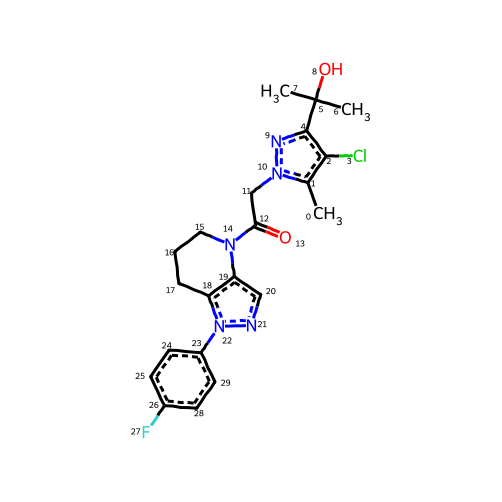 Cc1c(Cl)c(C(C)(C)O)nn1CC(=O)N1CCCc2c1cnn2-c1ccc(F)cc1